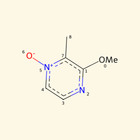 COc1ncc[n+]([O-])c1C